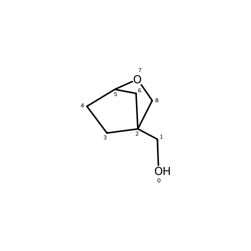 OCC12CCC(C1)OC2